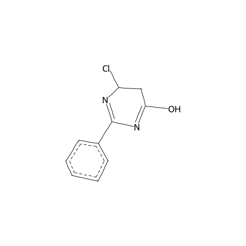 OC1=NC(c2ccccc2)=NC(Cl)C1